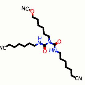 N#CCCCCCCNC(=O)N(CCCCCCOC#N)C(=O)NCCCCCCC#N